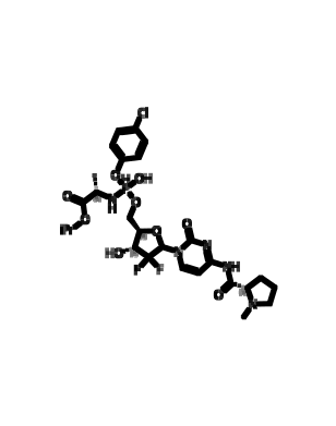 CC(C)OC(=O)[C@H](C)N[PH](O)(OC[C@H]1OC(n2ccc(NC(=O)[C@@H]3CCCN3C)nc2=O)C(F)(F)[C@@H]1O)Oc1ccc(Cl)cc1